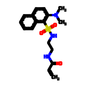 C=CC(=O)NCCNS(=O)(=O)c1c(N(C)C)ccc2ccccc12